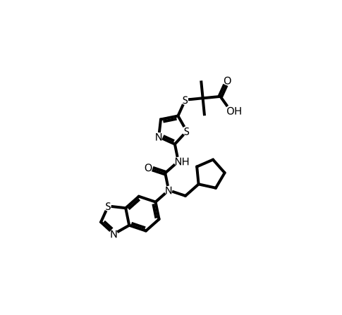 CC(C)(Sc1cnc(NC(=O)N(CC2CCCC2)c2ccc3ncsc3c2)s1)C(=O)O